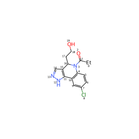 CCC(=O)N1c2ccc(Cl)cc2-c2[nH]ncc2C1CCO